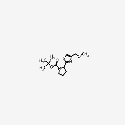 COCc1csc(C2CCCN2C(=O)OC(C)(C)C)n1